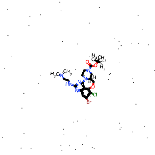 CN(C)CCNc1nc2c3c(c(Cl)c(Br)cc3n1)OC[C@@H]1CN(C(=O)OC(C)(C)C)CCN21